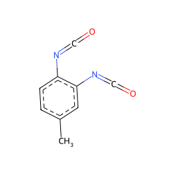 Cc1ccc(N=C=O)c(N=C=O)c1